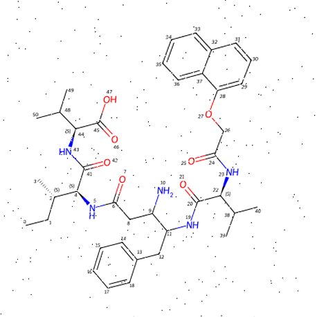 CC[C@H](C)[C@H](NC(=O)CC(N)C(Cc1ccccc1)NC(=O)[C@@H](NC(=O)COc1cccc2ccccc12)C(C)C)C(=O)N[C@H](C(=O)O)C(C)C